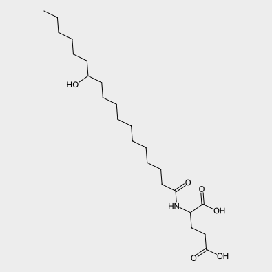 CCCCCCC(O)CCCCCCCCCCC(=O)NC(CCC(=O)O)C(=O)O